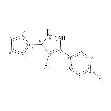 CCC1=C(c2ccc(Cl)cc2)NNC1c1cccs1